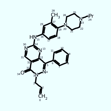 C=CCn1nc(-c2ccccc2)c2nc(Nc3ccc(N4CCN(C(C)C)CC4)c(C)c3)ncc2c1=O